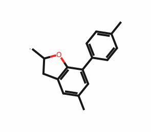 [CH2]C1Cc2cc(C)cc(-c3ccc(C)cc3)c2O1